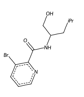 CC(C)CC(CO)NC(=O)c1ncccc1Br